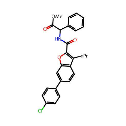 CCCc1c(C(=O)NC(C(=O)OC)c2ccccc2)oc2cc(-c3ccc(Cl)cc3)ccc12